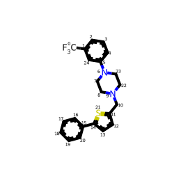 FC(F)(F)c1cccc(N2CCN(Cc3ccc(-c4ccccc4)s3)CC2)c1